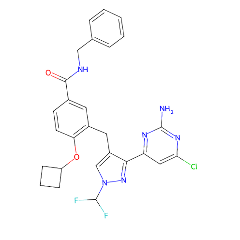 Nc1nc(Cl)cc(-c2nn(C(F)F)cc2Cc2cc(C(=O)NCc3ccccc3)ccc2OC2CCC2)n1